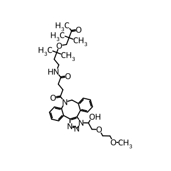 COCCOCC(O)n1nnc2c1-c1ccccc1CN(C(=O)CCC(=O)NCCC(C)(C)OCC(C)(C)C(C)=O)c1ccccc1-2